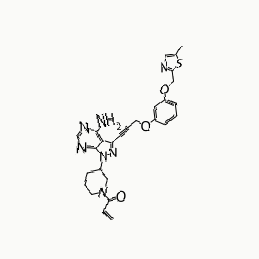 C=CC(=O)N1CCCC(n2nc(C#CCOc3cccc(OCc4ncc(C)s4)c3)c3c(N)ncnc32)C1